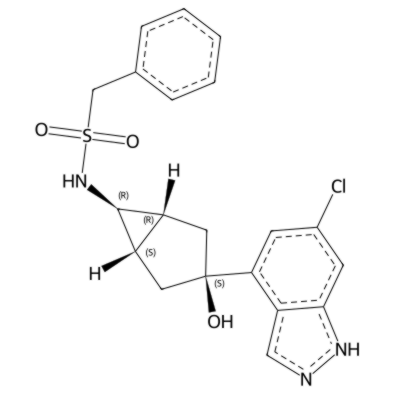 O=S(=O)(Cc1ccccc1)N[C@H]1[C@@H]2C[C@](O)(c3cc(Cl)cc4[nH]ncc34)C[C@@H]21